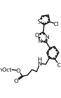 CCCCCCCCOC(=O)CCCNCc1cc(-c2noc(-c3sccc3Cl)n2)ccc1Cl